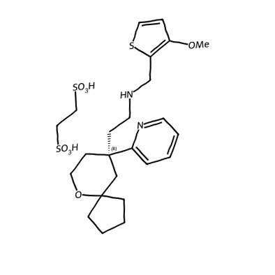 COc1ccsc1CNCC[C@@]1(c2ccccn2)CCOC2(CCCC2)C1.O=S(=O)(O)CCS(=O)(=O)O